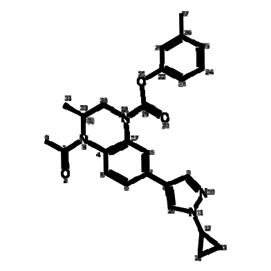 CC(=O)N1c2ccc(-c3cnn(C4CC4)c3)cc2N(C(=O)Oc2cccc(C)c2)C[C@@H]1C